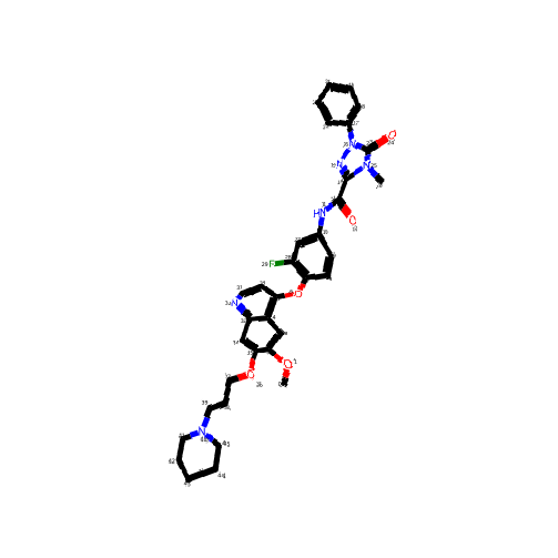 COc1cc2c(Oc3ccc(NC(=O)c4nn(-c5ccccc5)c(=O)n4C)cc3F)ccnc2cc1OCCCN1CCCCC1